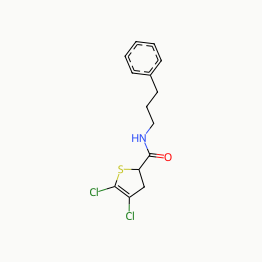 O=C(NCCCc1ccccc1)C1CC(Cl)=C(Cl)S1